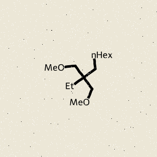 CCCCCCCC(CC)(COC)COC